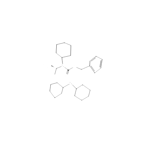 C1CCC(NC2CCCCC2)CC1.C[C@@H](C(=O)O)N(C(=O)OCc1ccccc1)C1CCCCC1